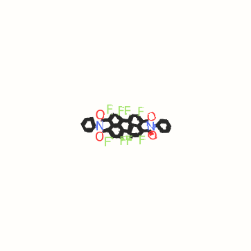 O=C1c2c(F)c(F)c3c4c(F)c(F)c5c6c(c(F)c(F)c(c7c(F)c(F)c(c2c37)C(=O)N1c1ccccc1)c64)C(=O)N(c1ccccc1)C5=O